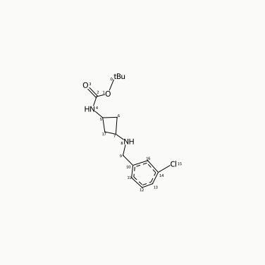 CC(C)(C)OC(=O)NC1CC(NCc2cccc(Cl)c2)C1